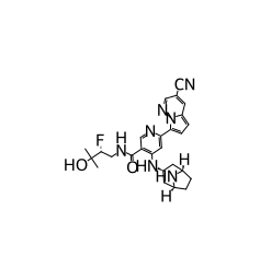 CC(C)(O)[C@H](F)CNC(=O)c1cnc(-c2ccc3cc(C#N)cnn23)cc1N[C@@H]1C[C@H]2CC[C@@H](C1)N2